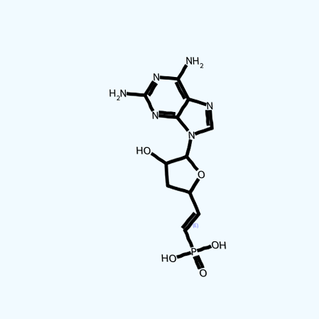 Nc1nc(N)c2ncn(C3OC(/C=C/P(=O)(O)O)CC3O)c2n1